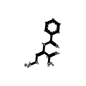 CO/C=C(/OC(=O)c1ccccc1)C(C)=O